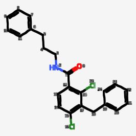 O=C(NCCCc1ccccc1)c1ccc(Cl)c(Cc2ccccc2)c1Cl